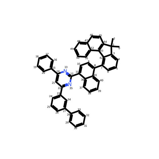 CC1(C)c2cccc(-c3ccc(-c4nc(-c5ccccc5)cc(-c5cccc(-c6ccccc6)c5)n4)c4ccccc34)c2-c2c1ccc1ccccc21